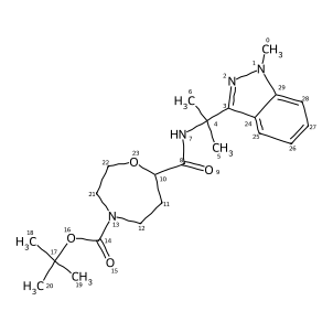 Cn1nc(C(C)(C)NC(=O)C2CCN(C(=O)OC(C)(C)C)CCO2)c2ccccc21